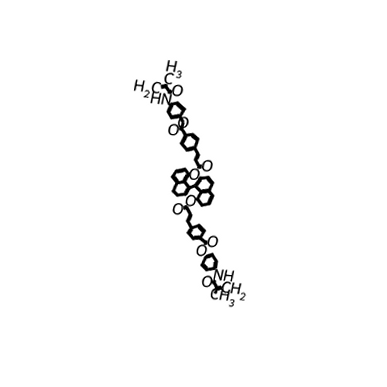 C=C(C)C(=O)Nc1ccc(OC(=O)c2ccc(/C=C/C(=O)OC3=C(c4c(OC(=O)/C=C/c5ccc(C(=O)Oc6ccc(NC(=O)C(=C)C)cc6)cc5)ccc5c4CCC=C5)c4ccccc4CC3)cc2)cc1